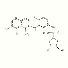 CO[C@@H]1CN(S(=O)(=O)Nc2ccc(F)c(Nc3ccc4ncn(C)c(=O)c4c3C)c2Cl)C[C@H]1F